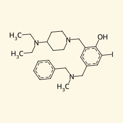 CCN(CC)C1CCN(Cc2cc(CN(C)Cc3ccccc3)cc(I)c2O)CC1